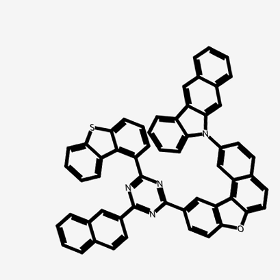 c1ccc2cc(-c3nc(-c4ccc5oc6ccc7ccc(-n8c9ccccc9c9cc%10ccccc%10cc98)cc7c6c5c4)nc(-c4cccc5sc6ccccc6c45)n3)ccc2c1